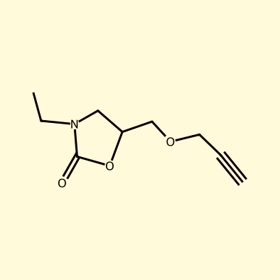 C#CCOCC1CN(CC)C(=O)O1